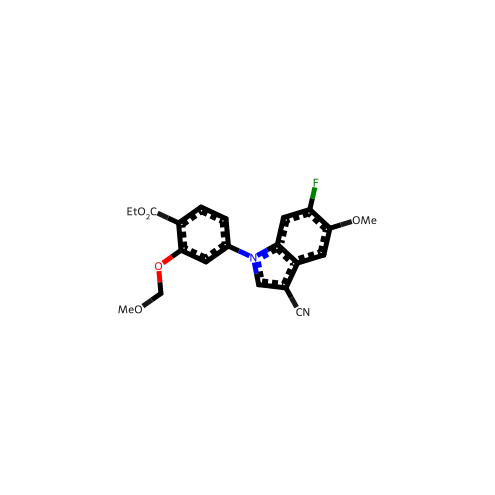 CCOC(=O)c1ccc(-n2cc(C#N)c3cc(OC)c(F)cc32)cc1OCOC